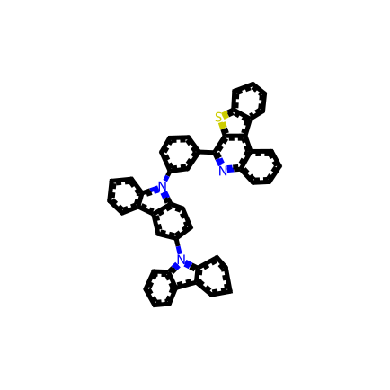 c1cc(-c2nc3ccccc3c3c2sc2ccccc23)cc(-n2c3ccccc3c3cc(-n4c5ccccc5c5ccccc54)ccc32)c1